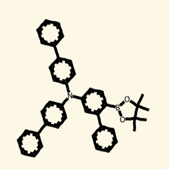 CC1(C)OB(c2ccc(N(c3ccc(-c4ccccc4)cc3)c3ccc(-c4ccccc4)cc3)cc2-c2ccccc2)OC1(C)C